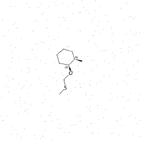 CSCO[C@H]1CCCC[C@H]1C